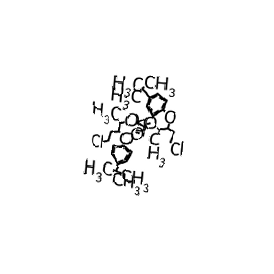 CC(OS(=O)OC(C)C(CCCl)Oc1ccc(C(C)(C)C)cc1)C(CCCl)Oc1ccc(C(C)(C)C)cc1